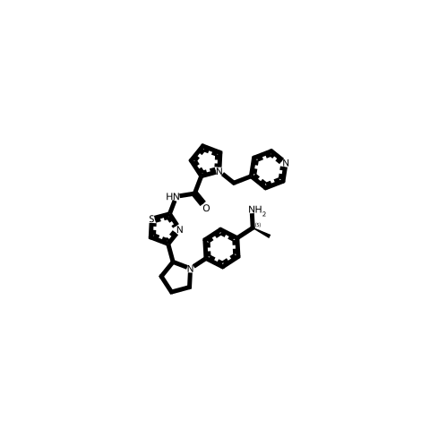 C[C@H](N)c1ccc(N2CCCC2c2csc(NC(=O)c3cccn3Cc3ccncc3)n2)cc1